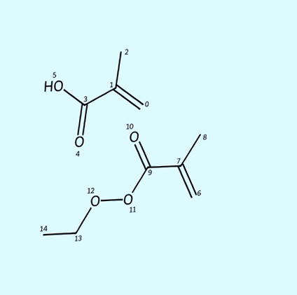 C=C(C)C(=O)O.C=C(C)C(=O)OOCC